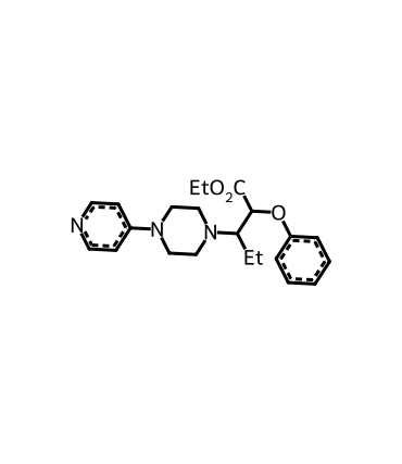 CCOC(=O)C(Oc1ccccc1)C(CC)N1CCN(c2ccncc2)CC1